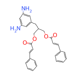 Nc1cc(N)cc(CC(COC(=O)/C=C/c2ccccc2)COC(=O)/C=C/c2ccccc2)c1